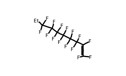 CCC(F)(F)C(F)(F)C(F)(F)C(F)(F)C(F)(F)C(F)(F)C(F)=C(F)F